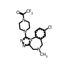 CN1Cc2cc(Cl)ccc2-n2c(nnc2N2CCN(C(=O)C(F)(F)F)CC2)C1